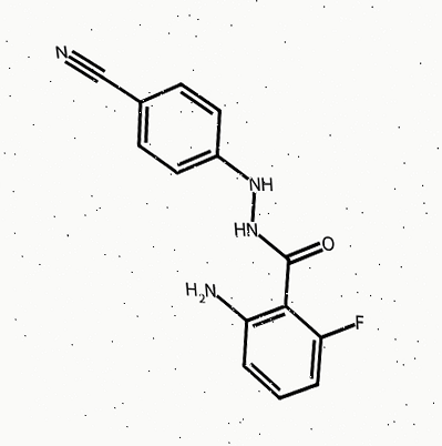 N#Cc1ccc(NNC(=O)c2c(N)cccc2F)cc1